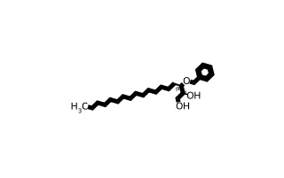 CCCCCCCCCCCCCCC[C@@H](OCc1ccccc1)[C@H](O)CO